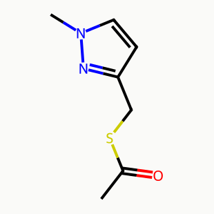 CC(=O)SCc1ccn(C)n1